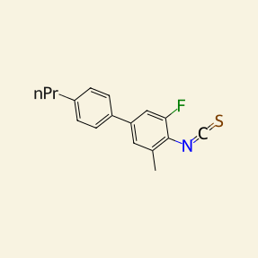 CCCc1ccc(-c2cc(C)c(N=C=S)c(F)c2)cc1